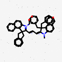 CC(C)CC[N+]1=C(/C=C/C=C2/N(C)c3ccc4ccccc4c3C2(Cc2ccccc2)Cc2ccccc2)C(Cc2ccccc2)(Cc2ccccc2)c2c1ccc1ccccc21